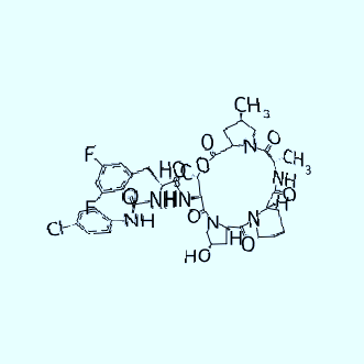 C[C@@H]1CC2C(=O)O[C@@H](C)[C@H](NC(=O)[C@H](Cc3cc(F)cc(F)c3)NC(=O)Nc3ccc(Cl)cc3)C(=O)N3C[C@H](O)C[C@H]3C(=O)N3CCCC[C@H]3C(=O)N[C@@H](C)C(=O)N2C1